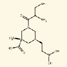 NC(CS)C(=O)N1C[C@@H](CCB(O)O)C[C@](N)(C(=O)O)C1